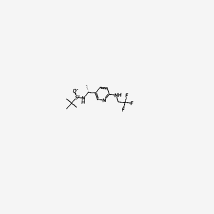 C[C@@H](N[S@+]([O-])C(C)(C)C)c1ccc(NCC(F)(F)F)nc1